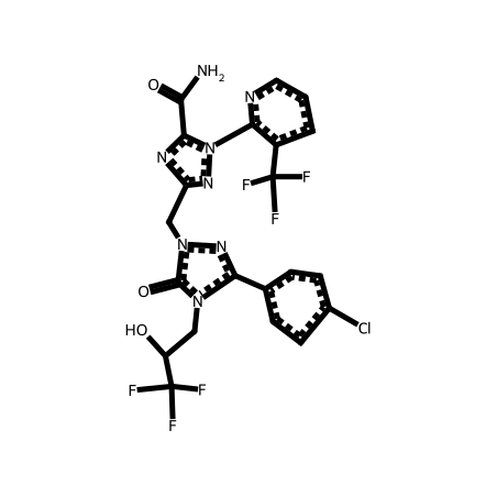 NC(=O)c1nc(Cn2nc(-c3ccc(Cl)cc3)n(CC(O)C(F)(F)F)c2=O)nn1-c1ncccc1C(F)(F)F